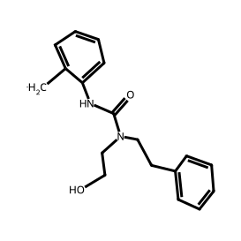 [CH2]c1ccccc1NC(=O)N(CCO)CCc1ccccc1